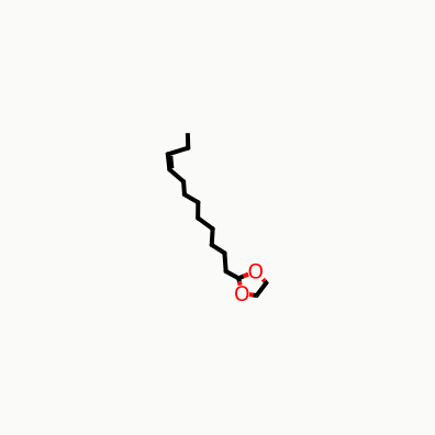 CC/C=C\CCCCCCCCC1OCCO1